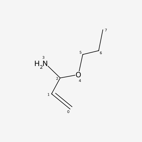 C=CC(N)OCCC